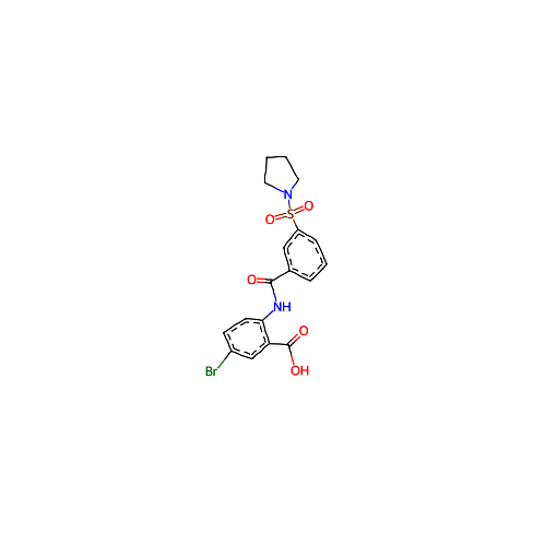 O=C(Nc1ccc(Br)cc1C(=O)O)c1cccc(S(=O)(=O)N2CCCC2)c1